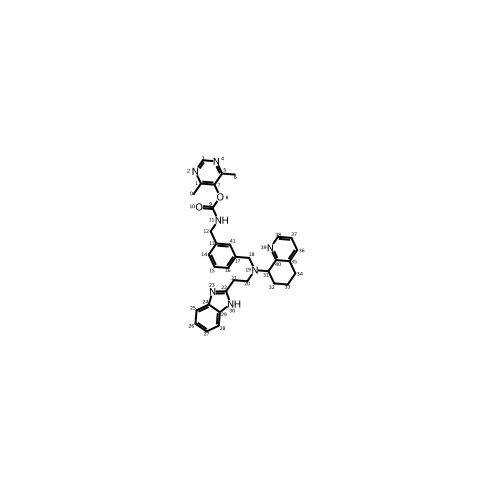 Cc1ncnc(C)c1OC(=O)NCc1cccc(CN(CCc2nc3ccccc3[nH]2)C2CCCc3cccnc32)c1